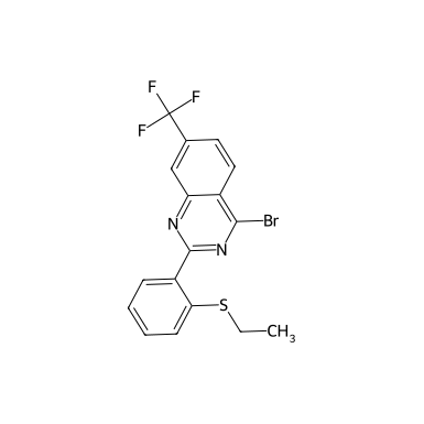 CCSc1ccccc1-c1nc(Br)c2ccc(C(F)(F)F)cc2n1